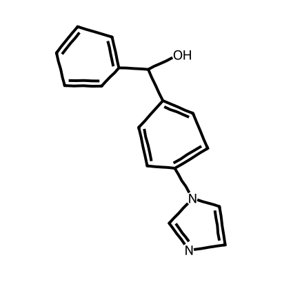 OC(c1ccccc1)c1ccc(-n2ccnc2)cc1